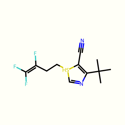 CC(C)(C)C1=C(C#N)[SH](CCC(F)=C(F)F)C=N1